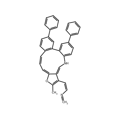 C=N/C=C\c1c(C)oc2/c1=C/Nc1ccc(-c3ccccc3)cc1-c1cc(-c3ccccc3)ccc1/C=C\C=2